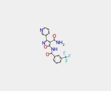 NC(=O)c1c(-c2cccnc2)noc1NC(=O)c1cccc(C(F)(F)F)c1